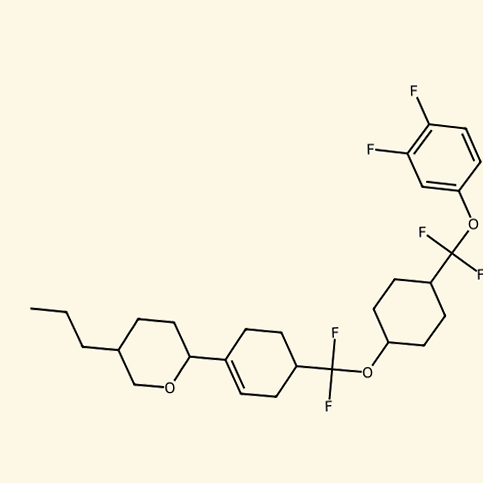 CCCC1CCC(C2=CCC(C(F)(F)OC3CCC(C(F)(F)Oc4ccc(F)c(F)c4)CC3)CC2)OC1